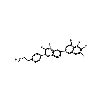 CCCc1ccc(-c2cc3ccc(-c4cc(F)c5c(F)c(F)c(F)cc5c4)cc3c(F)c2F)cc1